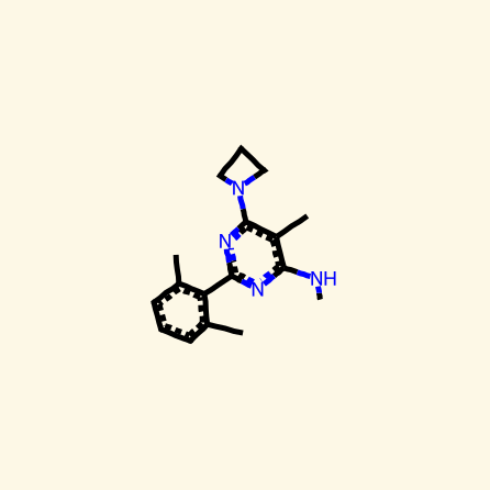 CNc1nc(-c2c(C)cccc2C)nc(N2CCC2)c1C